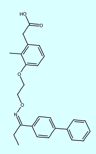 CCC(=NOCCOc1cccc(CC(=O)O)c1C)c1ccc(-c2ccccc2)cc1